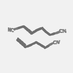 C=CCCC#N.N#CCCCCC#N